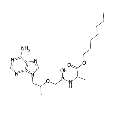 CCCCCCCOC(=O)C(C)NP(O)COC(C)Cn1cnc2c(N)ncnc21